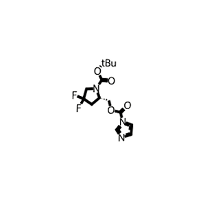 CC(C)(C)OC(=O)N1CC(F)(F)C[C@H]1COC(=O)n1ccnc1